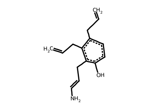 C=CCc1ccc(O)c(CC=CN)c1CC=C